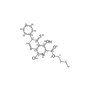 CCCCOC(=O)c1nc(Cl)c2c(c1O)C(=S)C(c1ccccc1)C=C2